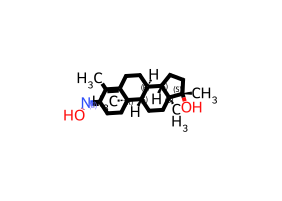 CC1=C2CC[C@@H]3[C@H](CC[C@@]4(C)[C@H]3CC[C@]4(C)O)[C@@]2(C)CC/C1=N\O